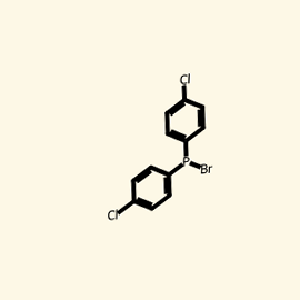 Clc1ccc(P(Br)c2ccc(Cl)cc2)cc1